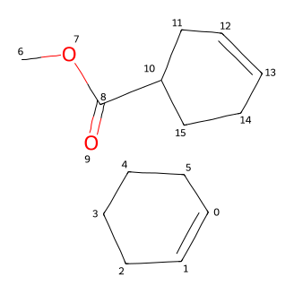 C1=CCCCC1.COC(=O)C1CC=CCC1